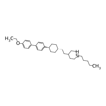 CCCCC[SiH]1CCC(CC[C@H]2CC[C@H](c3ccc(-c4ccc(OCC)cc4)cc3)CC2)CC1